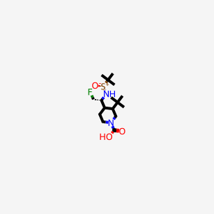 CC(C)(C)C1CN(C(=O)O)CCC1[C@H](CF)N[S@@+]([O-])C(C)(C)C